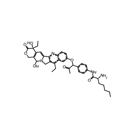 CCCCC[C@H](N)C(=O)Nc1ccc(C(Oc2ccc3nc4c(c(CC)c3c2)CN2C4=CC3=C(COC(=O)[C@]3(O)CC)C2O)C(C)=O)cc1